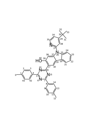 Cc1ccc(-c2nc(-c3ccc(C)cc3)nc(-c3cc4c5ccccc5n(-c5cc(C(C)(C)C)ccn5)c4cc3O)n2)cc1